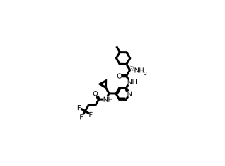 CC1CCC([C@H](N)C(=O)Nc2cc(C(NC(=O)CCC(F)(F)F)C3CC3)ccn2)CC1